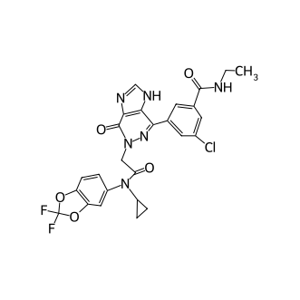 CCNC(=O)c1cc(Cl)cc(-c2nn(CC(=O)N(c3ccc4c(c3)OC(F)(F)O4)C3CC3)c(=O)c3nc[nH]c23)c1